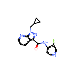 O=C(Nc1ccncc1F)c1nn(CC2CC2)c2ncccc12